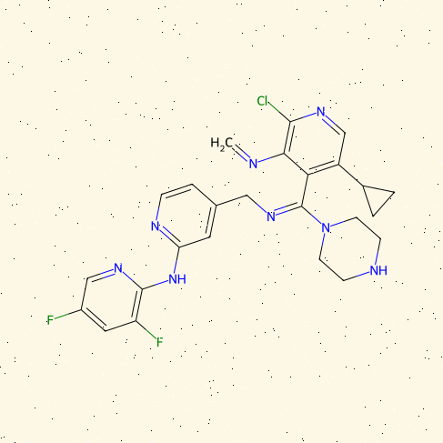 C=Nc1c(Cl)ncc(C2CC2)c1/C(=N\Cc1ccnc(Nc2ncc(F)cc2F)c1)N1CCNCC1